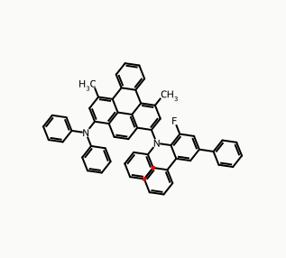 Cc1cc(N(c2ccccc2)c2ccccc2)c2ccc3c(N(c4ccccc4)c4c(F)cc(-c5ccccc5)cc4-c4ccccc4)cc(C)c4c5ccccc5c1c2c34